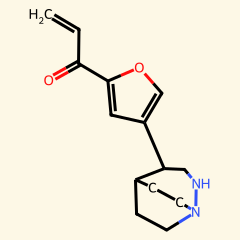 C=CC(=O)c1cc(C2CNN3CCC2CC3)co1